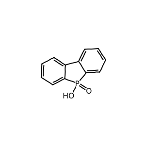 O=P1(O)c2ccccc2-c2ccccc21